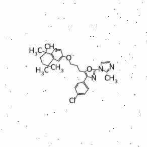 Cc1nccn1-c1nc(-c2ccc(Cl)cc2)c(CCCOc2ccc3c(c2)C(C)(C)CCC3(C)C)o1